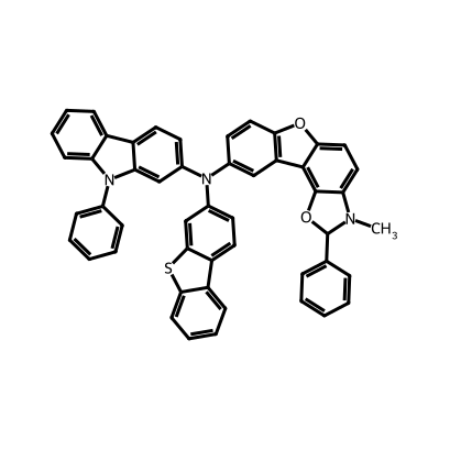 CN1c2ccc3oc4ccc(N(c5ccc6c(c5)sc5ccccc56)c5ccc6c7ccccc7n(-c7ccccc7)c6c5)cc4c3c2OC1c1ccccc1